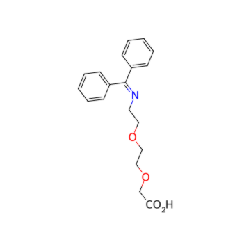 O=C(O)COCCOCCN=C(c1ccccc1)c1ccccc1